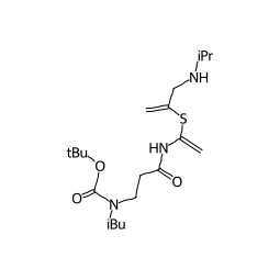 C=C(CNC(C)C)SC(=C)NC(=O)CCN(C(=O)OC(C)(C)C)C(C)CC